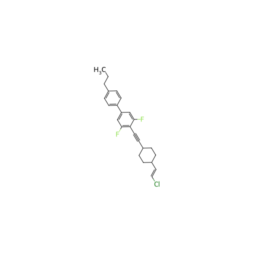 CCCc1ccc(-c2cc(F)c(C#CC3CCC(/C=C/Cl)CC3)c(F)c2)cc1